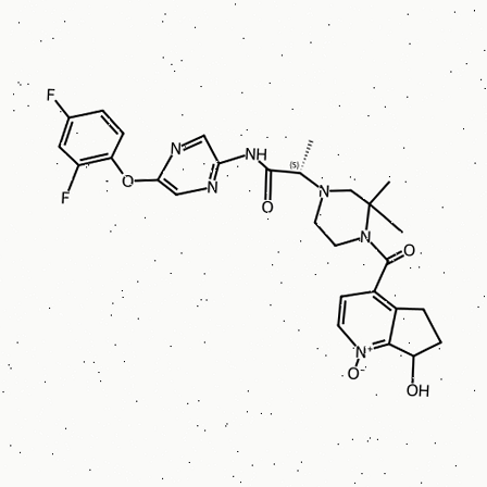 C[C@@H](C(=O)Nc1cnc(Oc2ccc(F)cc2F)cn1)N1CCN(C(=O)c2cc[n+]([O-])c3c2CCC3O)C(C)(C)C1